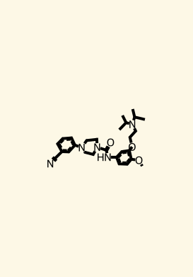 COc1ccc(NC(=O)N2CCN(c3cccc(C#N)c3)CC2)cc1OCCN(C(C)C)C(C)C